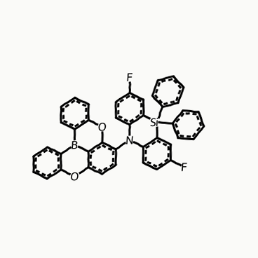 Fc1ccc2c(c1)[Si](c1ccccc1)(c1ccccc1)c1cc(F)ccc1N2c1ccc2c3c1Oc1ccccc1B3c1ccccc1O2